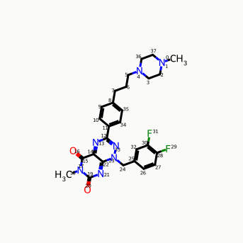 CN1CCN(CCCc2ccc(-c3nc4c(=O)n(C)c(=O)nc-4n(Cc4ccc(F)c(F)c4)n3)cc2)CC1